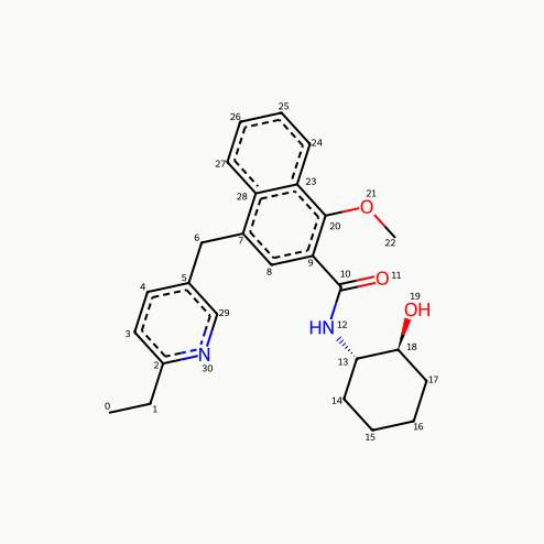 CCc1ccc(Cc2cc(C(=O)N[C@H]3CCCC[C@@H]3O)c(OC)c3ccccc23)cn1